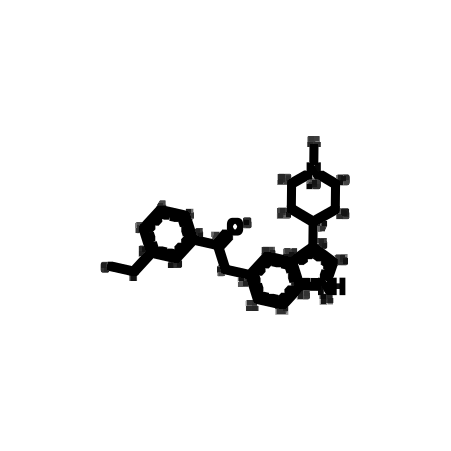 CCc1cccc(C(=O)Cc2ccc3[nH]cc(C4CCN(C)CC4)c3c2)c1